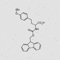 CC(C)(C)Oc1ccc(CCC(NC(=O)OCC2c3ccccc3-c3ccccc32)C(=O)O)cc1